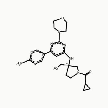 Nc1ncc(-c2cc(N[C@@]3(CO)CCN(C(=O)C4CC4)C3)nc(N3CCOCC3)n2)cn1